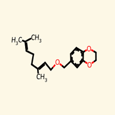 CC(C)=CCC/C(C)=C/COCc1ccc2c(c1)OCCO2